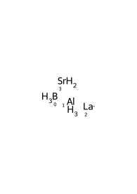 B.[AlH3].[La].[SrH2]